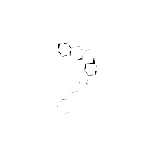 CN(Cc1ccccc1)C(=O)c1cc(C(=O)NCCC2CNCCO2)c[nH]c1=O